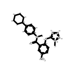 CN(C(=O)c1cc([N+](=O)[O-])ccc1Sc1nnnn1C)c1ccc(C2CCCCC2)cc1